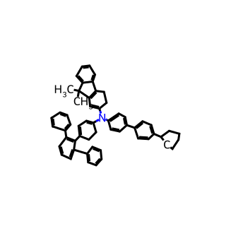 CC1(C)C2=C(CCC(N(C3=CC=C(c4c(-c5ccccc5)cccc4-c4ccccc4)CC3)c3ccc(-c4ccc(C5CCCCC5)cc4)cc3)=C2)c2ccccc21